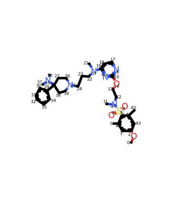 COc1cc(C)c(S(=O)(=O)N(C)CCOc2nccc(N(C)CCCN3CCC(c4ccccc4)(N(C)C)CC3)n2)c(C)c1